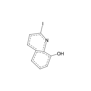 Oc1cccc2ccc(I)nc12